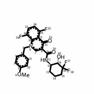 COc1ccc(Cn2cc(C(=O)N[C@@H]3CCCC(F)(F)[C@H]3O)c(=O)c3c(F)ccc(F)c32)cc1